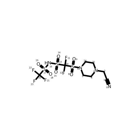 N#CCN1CCN(S(=O)(=O)C(F)(F)S(=O)(=O)NS(=O)(=O)C(F)(F)F)CC1